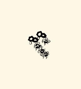 O=C1CCCc2ccc(OS(=O)(=O)C(F)(F)F)cc21.O=C1CCCc2ccc(OS(=O)(=O)C(F)(F)F)cc21.O=S(=O)(OS(=O)(=O)C(F)(F)F)C(F)(F)F